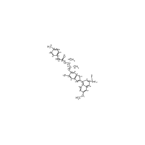 COc1cnc2c(-c3nc4cc(F)c(O[C@@H](C)[C@@H](C)OC(=O)Nc5cnc(C)nc5)cc4s3)cc(C(F)F)cc2c1